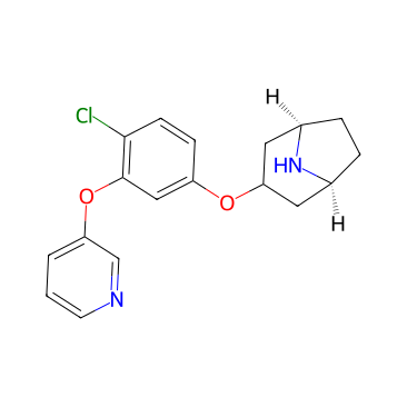 Clc1ccc(OC2C[C@H]3CC[C@@H](C2)N3)cc1Oc1cccnc1